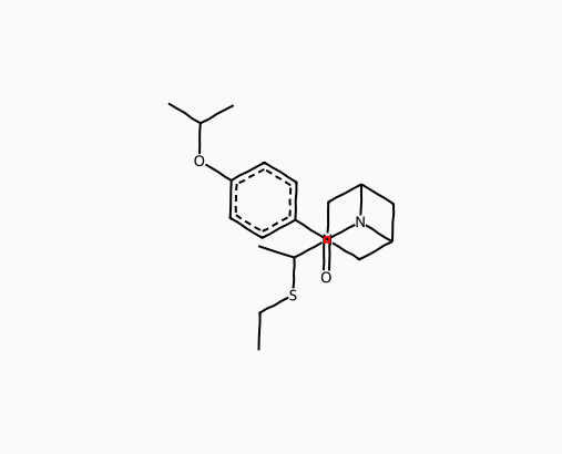 CCSC(C)N1CC2CC(C1)N2C(=O)c1ccc(OC(C)C)cc1